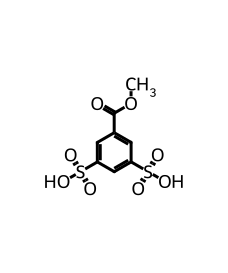 COC(=O)c1cc(S(=O)(=O)O)cc(S(=O)(=O)O)c1